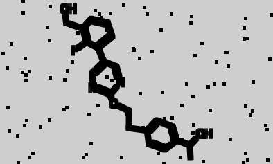 CC(O)c1ccc(CCOc2ncc(-c3cccc(CO)c3F)cn2)cc1